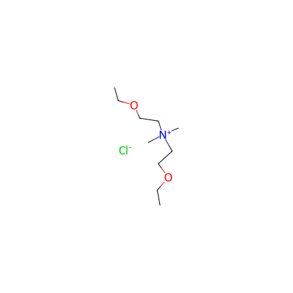 CCOCC[N+](C)(C)CCOCC.[Cl-]